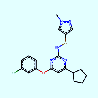 Cn1cc(SNc2nc(Oc3cccc(Cl)c3)cc(C3CCCC3)n2)cn1